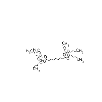 CCCCOC(COCC)(OCCCC)OC(=O)CCCCCCCC(=O)OC(COCC)(OCCCC)OCCCC